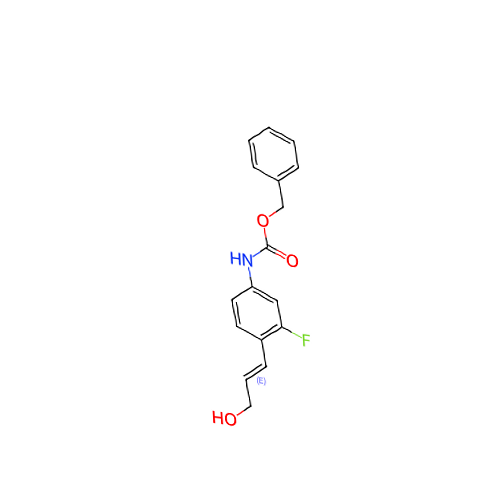 O=C(Nc1ccc(/C=C/CO)c(F)c1)OCc1ccccc1